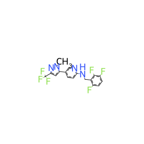 Cn1nc(C(F)(F)F)cc1-c1ccc(NCc2c(F)ccc(F)c2F)nc1